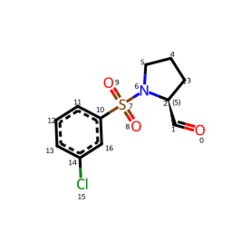 O=C[C@@H]1[CH]CCN1S(=O)(=O)c1cccc(Cl)c1